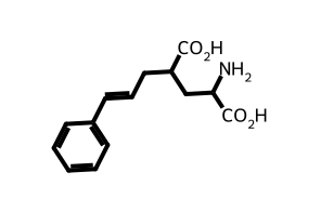 NC(CC(CC=Cc1ccccc1)C(=O)O)C(=O)O